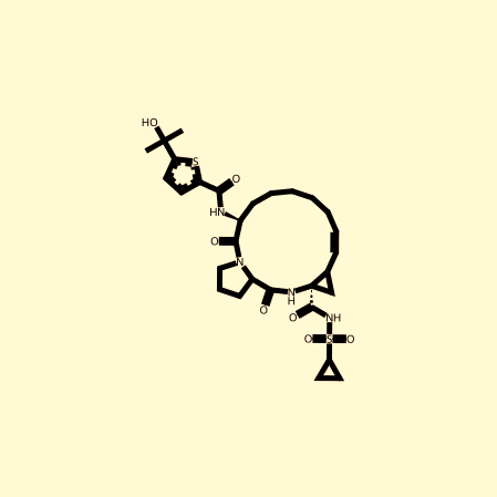 CC(C)(O)c1ccc(C(=O)N[C@H]2CCCCC/C=C\C3C[C@@]3(C(=O)NS(=O)(=O)C3CC3)NC(=O)C3CCCN3C2=O)s1